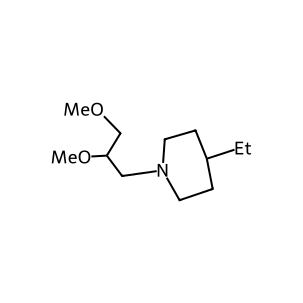 CCC1CCN(CC(COC)OC)CC1